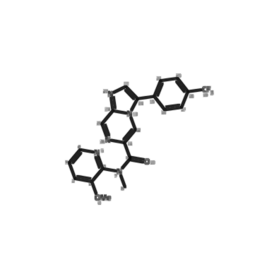 COc1cccnc1N(C)C(=O)c1cn2c(-c3ccc(C(F)(F)F)cc3)cnc2cn1